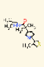 Cc1cscc1-c1ccc(C(C)(C)C(=O)NCC(C)C)cn1